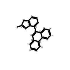 CC1=Cc2c(cccc2-c2cc3ccccc3c3ccccc23)C1